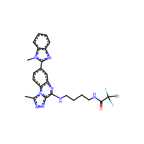 CCC(F)(F)C(=O)NCCCCNc1nc2cc(-c3nc4ccccc4n3C)ccc2n2c(C)nnc12